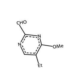 CCc1cnc(C=O)nc1OC